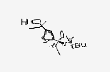 CN(C)S(=O)(=N[Si](C)(C)C(C)(C)C)c1cc(C(C)(C)O)cs1